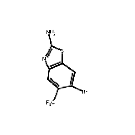 Nc1nc2cc(C(F)(F)F)c(Br)cc2s1